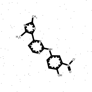 Cc1nc(C)c(-c2ccnc(Nc3ccc(O)c([N+](=O)[O-])c3)n2)s1